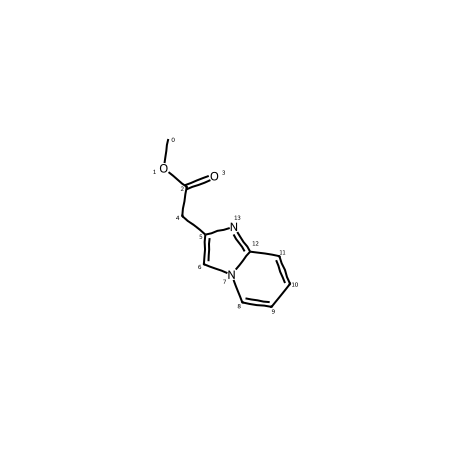 COC(=O)Cc1cn2ccccc2n1